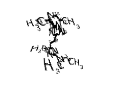 CCN(C)c1nc(C=Cc2nc3c(C)ncc(C)n3n2)n(C)n1